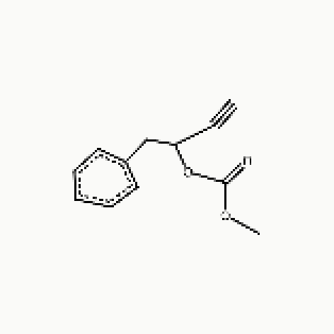 C#CC(Cc1ccccc1)OC(=O)OC